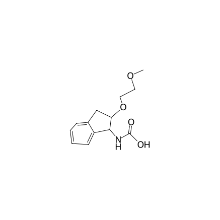 COCCOC1Cc2ccccc2C1NC(=O)O